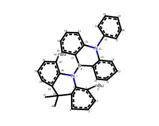 CCCCc1cccc2c1N(B1c3ccccc3N(c3ccccc3)c3ccccc31)c1c(CCCC)cccc1C2(C)C